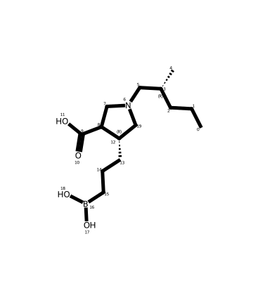 CCC[C@@H](C)CN1CC(C(=O)O)[C@@H](CCCB(O)O)C1